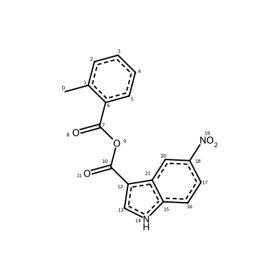 Cc1ccccc1C(=O)OC(=O)c1c[nH]c2ccc([N+](=O)[O-])cc12